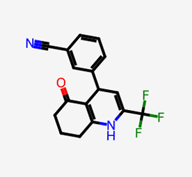 N#Cc1cccc(C2C=C(C(F)(F)F)NC3=C2C(=O)CCC3)c1